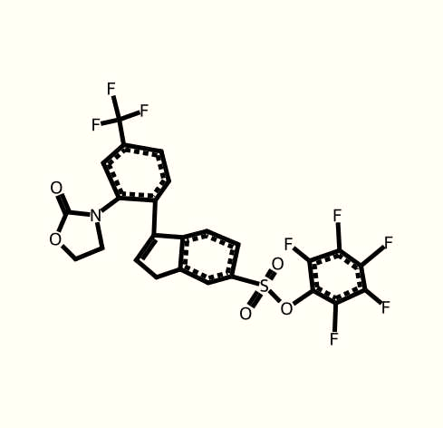 O=C1OCCN1c1cc(C(F)(F)F)ccc1C1=CCc2cc(S(=O)(=O)Oc3c(F)c(F)c(F)c(F)c3F)ccc21